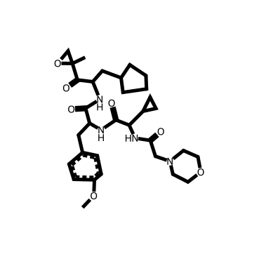 COc1ccc(CC(NC(=O)C(NC(=O)CN2CCOCC2)C2CC2)C(=O)NC(CC2CCCC2)C(=O)C2(C)CO2)cc1